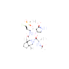 CC(C)(C)[C@@H](NC(=O)C(F)(F)F)C(=O)N1C[C@@H]2CCC[C@@H]2[C@H]1C(=O)N[C@@H](/C=C(/F)S(C)(=O)=O)C[C@H]1CCNC1=O